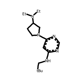 CCN(CC)C1CCN(c2cc(NCC(C)(C)C)ncn2)C1